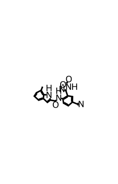 Cc1cccc2cc(C(=O)Nc3ccc(C#N)cc3-c3noc(=O)[nH]3)[nH]c12